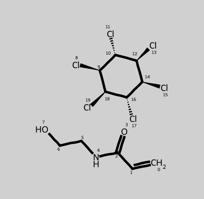 C=CC(=O)NCCO.Cl[C@H]1[C@H](Cl)[C@@H](Cl)[C@@H](Cl)[C@H](Cl)[C@H]1Cl